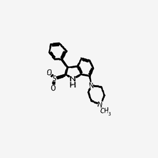 CN1CCN(c2cccc3c2NC(=S(=O)=O)C3c2ccccc2)CC1